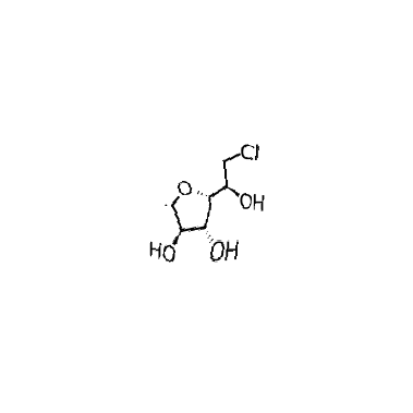 O[C@H]1[C@@H]([C@H](O)CCl)O[CH][C@@H]1O